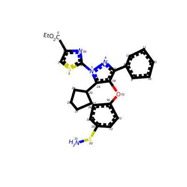 CCOC(=O)c1csc(-n2nc(-c3ccccc3)c(Oc3ccc(SN)cc3)c2C2CCCC2)n1